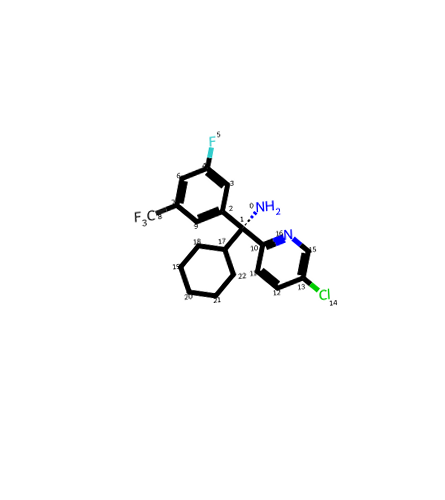 N[C@](c1cc(F)cc(C(F)(F)F)c1)(c1ccc(Cl)cn1)C1CCCCC1